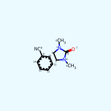 CN1CCN(C)C1=O.N#Cc1ccccc1